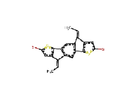 C/C=C1/c2cc3c(cc2-c2sc(Br)cc21)/C(=C\C)c1cc(Br)sc1-3